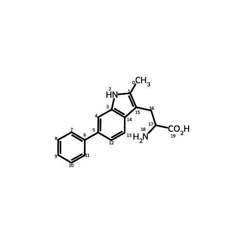 Cc1[nH]c2cc(-c3ccccc3)ccc2c1CC(N)C(=O)O